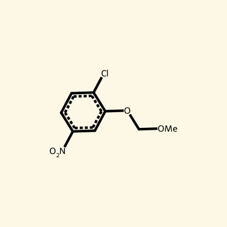 COCOc1cc([N+](=O)[O-])ccc1Cl